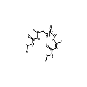 CCOC(=O)C=C(C)CO[PH](=O)OCC(C)=CC(=O)OCC